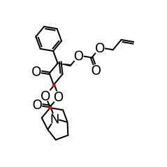 C=CCOC(=O)OC[C@@H](C(=O)COC1CC2CCC(C1)N2C(=O)OCC=C)c1ccccc1